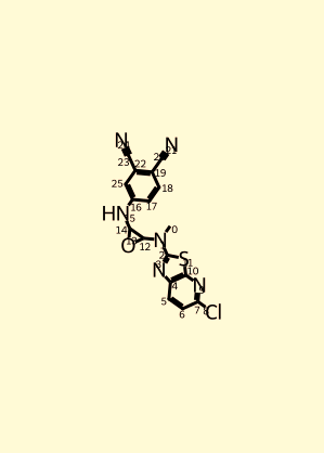 CN(c1nc2ccc(Cl)nc2s1)C1OC1Nc1ccc(C#N)c(C#N)c1